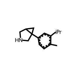 Cc1ccc(C23CNCC2C3)cc1C(C)C